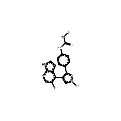 CCNC(=O)Nc1ccc(-c2nn(CC)cc2-c2c(F)cnc3[nH]ccc23)cc1